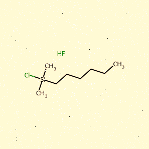 CCCCCC[Si](C)(C)Cl.F